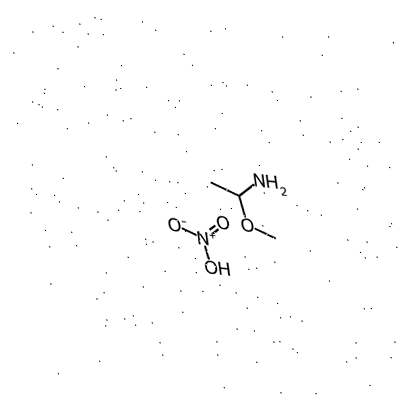 COC(C)N.O=[N+]([O-])O